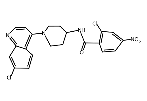 O=C(NC1CCN(c2ccnc3cc(Cl)ccc23)CC1)c1ccc([N+](=O)[O-])cc1Cl